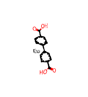 O=C(O)c1ccc(-c2ccc(C(=O)O)cc2)cc1.[Eu]